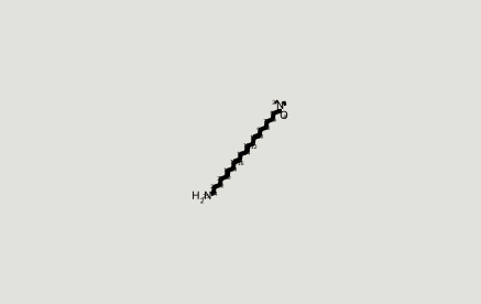 CN(C)C(=O)CCCCCC=CCC=CCC=CCC=CCCCCN